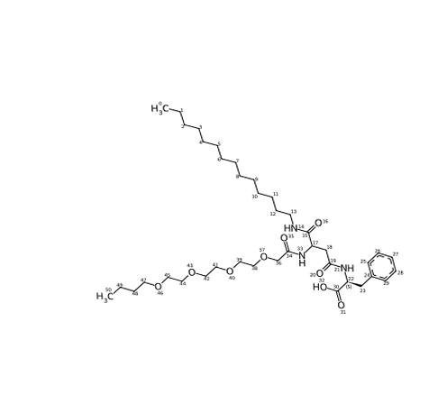 CCCCCCCCCCCCCCNC(=O)C(CC(=O)N[C@@H](Cc1ccccc1)C(=O)O)NC(=O)COCCOCCOCCOCCCC